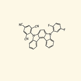 N#Cc1cc(C#N)c(-n2c3ccccc3c3c4c5ccccc5n(-c5cc(F)ccc5F)c4ccc32)c(C#N)c1